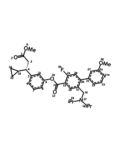 COC(=O)C[C@H](c1cccc(OC(=O)c2cc(CN(C(C)C)C(C)C)c(-c3ccnc(OC)c3)cc2F)c1)C1CC1